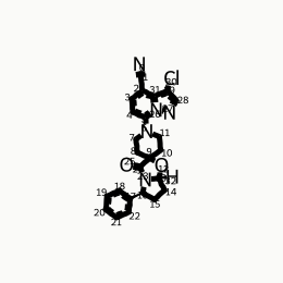 N#Cc1ccc(N2CCC3(CC2)O[C@@H]2CC[C@@H](c4ccccc4)N2C3=O)n2ncc(Cl)c12